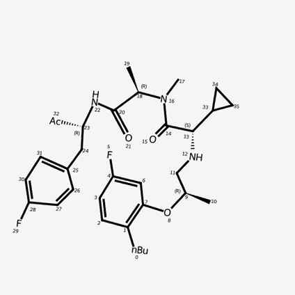 CCCCc1ccc(F)cc1O[C@H](C)CN[C@H](C(=O)N(C)[C@H](C)C(=O)N[C@H](Cc1ccc(F)cc1)C(C)=O)C1CC1